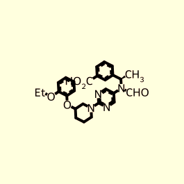 CCOc1ccccc1OC1CCCN(c2ncc(N(C=O)[C@H](C)c3cccc(C(=O)O)c3)cn2)C1